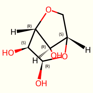 O[C@H]1[C@@H]2OC[C@H](O[C@H]1O)[C@H]2O